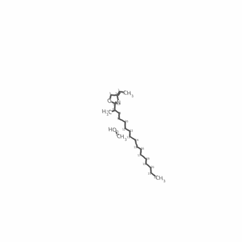 CC=C1COC(C(C)CCCCCCCCCCCCCCC)=N1.CO